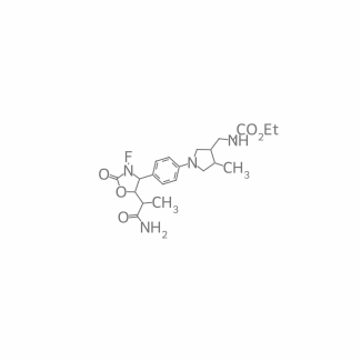 CCOC(=O)NCC1CN(c2ccc(C3C(C(C)C(N)=O)OC(=O)N3F)cc2)CC1C